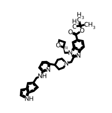 CC(C)(C)OC(=O)c1ccc2nc(CN3CCC(c4cccc(NCc5ccc6[nH]ccc6c5)n4)CC3)n(C[C@@H]3CCO3)c2c1